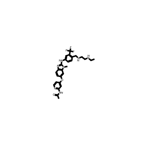 CCNCCNCc1ccc(Nc2nc3ccc(Oc4ccnc(NC(C)=O)c4)cc3n2C)cc1C(F)(F)F